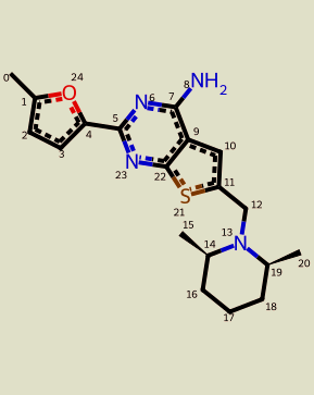 Cc1ccc(-c2nc(N)c3cc(CN4[C@H](C)CCC[C@@H]4C)sc3n2)o1